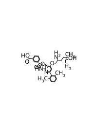 Cc1cccc(C)c1-c1cc(OCC(N)CCC(C)(C)O)nc(NS(=O)(=O)c2cccc(C(=O)O)c2)n1